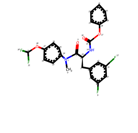 CN(C(=O)[C@H](Cc1cc(F)cc(F)c1)NC(=O)Oc1ccccc1)c1ccc(OC(F)F)cc1